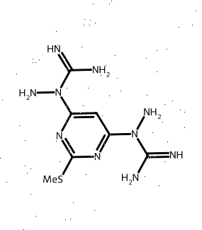 CSc1nc(N(N)C(=N)N)cc(N(N)C(=N)N)n1